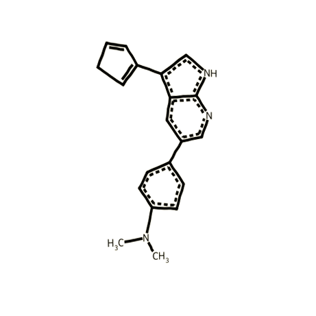 CN(C)c1ccc(-c2cnc3[nH]cc(C4=CCC=C4)c3c2)cc1